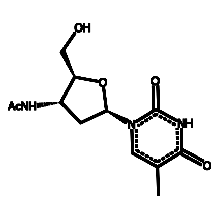 CC(=O)N[C@H]1C[C@H](n2cc(C)c(=O)[nH]c2=O)O[C@@H]1CO